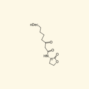 CCCCCCCCCCCCCCC(=O)CC(=O)N[C@H]1CCOC1=O